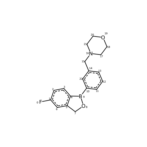 Fc1ccc2c(c1)COB2c1cccc(CN2CCOCC2)c1